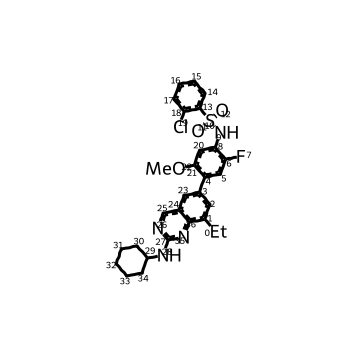 CCc1cc(-c2cc(F)c(NS(=O)(=O)c3ccccc3Cl)cc2OC)cc2cnc(NC3CCCCC3)nc12